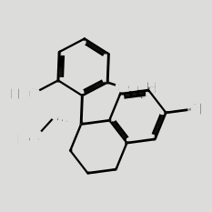 Cc1cccc(C(=O)O)c1[C@]1(CO)CCCc2cc(Cl)ccc21